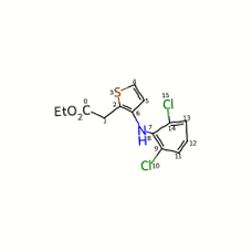 CCOC(=O)Cc1sccc1Nc1c(Cl)cccc1Cl